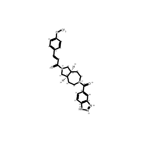 O=C(C=Cc1ccc(OC(F)(F)F)cc1)N1C[C@H]2CCN(C(=O)c3ccc4[nH]nnc4c3)CC[C@H]2C1